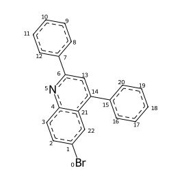 Brc1ccc2nc(-c3ccccc3)cc(-c3ccccc3)c2c1